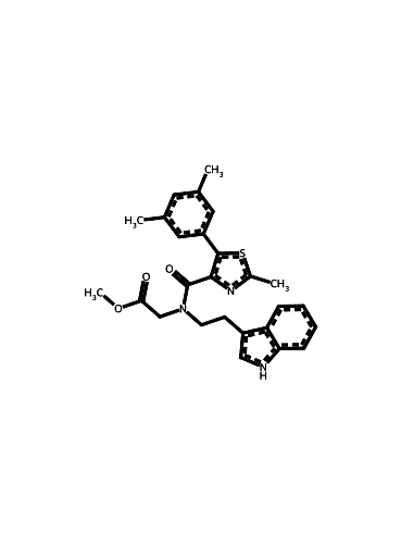 COC(=O)CN(CCc1c[nH]c2ccccc12)C(=O)c1nc(C)sc1-c1cc(C)cc(C)c1